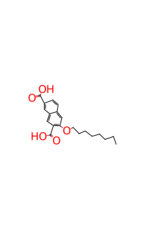 CCCCCCCCOc1cc2ccc(C(=O)O)cc2cc1C(=O)O